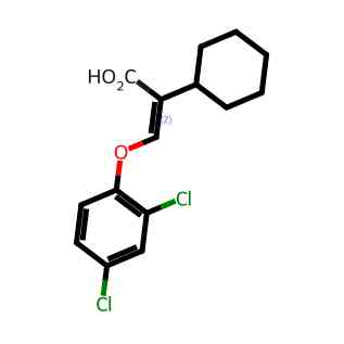 O=C(O)/C(=C\Oc1ccc(Cl)cc1Cl)C1CCCCC1